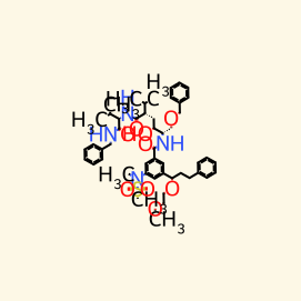 COCCOC(CCc1ccccc1)c1cc(C(=O)N[C@@H](COCc2ccccc2)[C@@H](O)C[C@H](C(=O)N[C@H](C(=O)NCc2ccccc2)C(C)C)C(C)C)cc(N(C)S(C)(=O)=O)c1